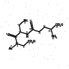 CC(=O)N(CC(=O)O)C(=O)C(CS)NC(=O)CCC(N)C(=O)O